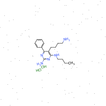 CCCCNc1nc(N)nc(-c2ccccc2)c1CCCCN.Cl.Cl